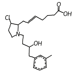 Cc1cccc(CC(O)CCN2CCC(Cl)C2C/C=C/CCCC(=O)O)c1